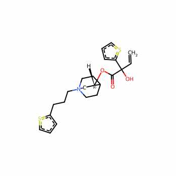 C=CC(O)(C(=O)O[C@H]1C[N+]2(CCCc3cccs3)CCC1CC2)c1cccs1